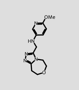 COc1ccc(NCc2nnc3n2CCOCC3)cn1